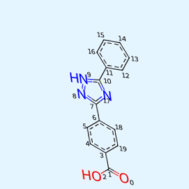 O=C(O)c1ccc(-c2n[nH]c(-c3ccccc3)n2)cc1